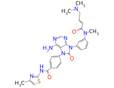 Cc1csc(NC(=O)c2ccc(-n3c(=O)n(-c4cccc(N(C)C(=O)C=CCN(C)C)c4)c4ncnc(N)c43)cc2)n1